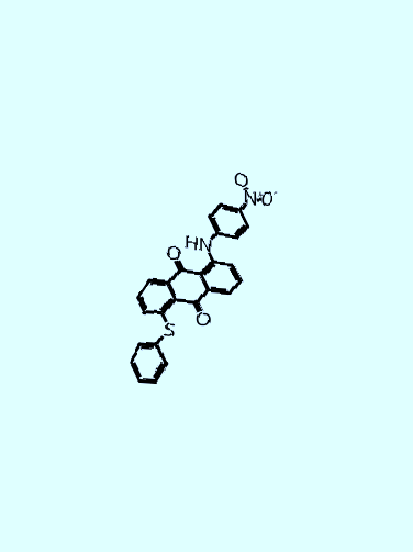 O=C1c2cccc(Sc3ccccc3)c2C(=O)c2cccc(Nc3ccc([N+](=O)[O-])cc3)c21